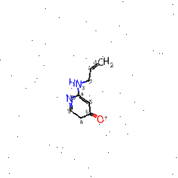 C=CCNC1=CC(=O)CC=N1